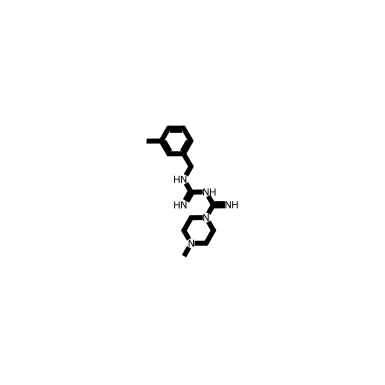 Cc1cccc(CNC(=N)NC(=N)N2CCN(C)CC2)c1